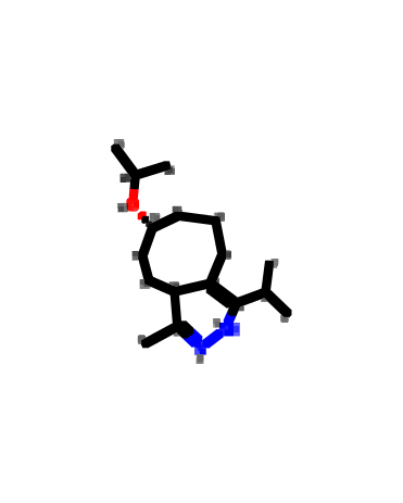 CC1=NNC(C(C)C)=C2CCC[C@@H](OC(C)C)CCC12